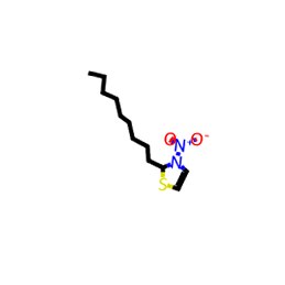 CCCCCCCCCC1SC=CN1[N+](=O)[O-]